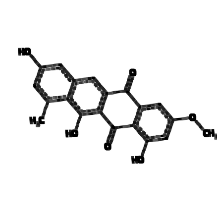 COc1cc(O)c2c(c1)C(=O)c1cc3cc(O)cc(C)c3c(O)c1C2=O